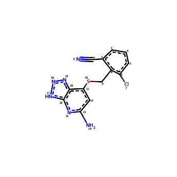 N#Cc1cccc(Cl)c1CSc1cc(N)nc2[nH]nnc12